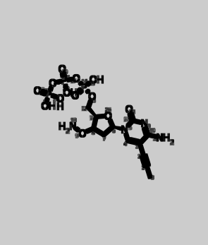 CC#Cc1cn([C@H]2CC(ON)[C@@H](COP(=O)(O)OP(=O)(O)OP(=O)(O)O)O2)c(=O)nc1N